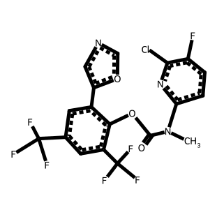 CN(C(=O)Oc1c(-c2cnco2)cc(C(F)(F)F)cc1C(F)(F)F)c1ccc(F)c(Cl)n1